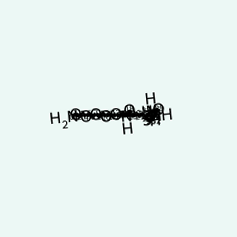 NOCCOCCOCCOCCOCCNC(=O)CCCC[C@@H]1SC[C@@H]2NC(=O)N[C@@H]21